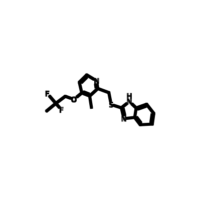 Cc1c(OCC(C)(F)F)ccnc1CSc1nc2ccccc2[nH]1